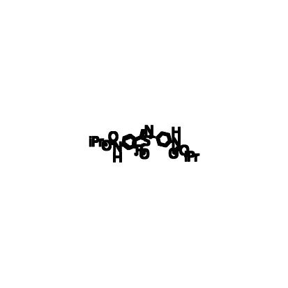 CC(C)OC(=O)Nc1ccc(-c2cnc([C@H]3CC[C@H](NC(=O)OC(C)C)CC3)s2)c(P(C)(C)=O)c1